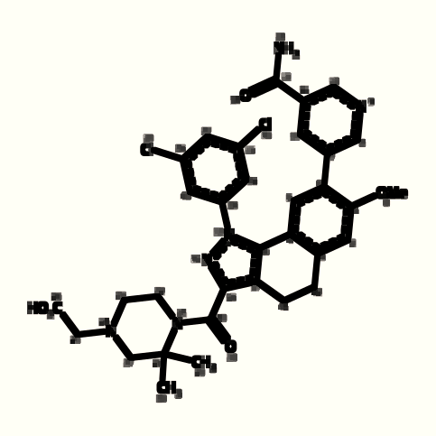 COc1cc2c(cc1-c1cncc(C(N)=O)c1)-c1c(c(C(=O)N3CCN(CC(=O)O)CC3(C)C)nn1-c1cc(Cl)cc(Cl)c1)CC2